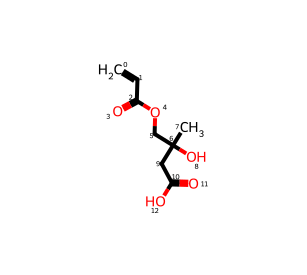 C=CC(=O)OCC(C)(O)CC(=O)O